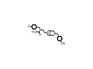 N#Cc1ccc(CN2CC3CN(CCN(Cc4ccc(F)cc4)C(N)=O)CC(C2)O3)cc1